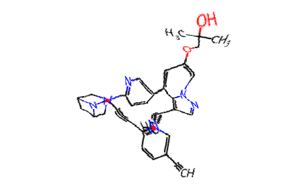 C#Cc1ccc(C#CCN2C3CC2CN(c2ccc(-c4cc(OCC(C)(C)O)cn5ncc(C#C)c45)cn2)C3)nc1